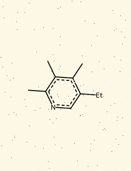 CCc1cnc(C)c(C)c1C